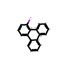 Ic1cccc2c3ccccc3c3ccccc3c12